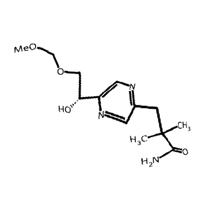 COCOC[C@@H](O)c1cnc(CC(C)(C)C(N)=O)cn1